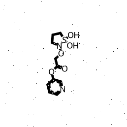 O=C(CON1CCCS1(O)O)Oc1cccnc1